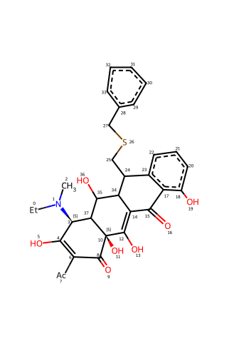 CCN(C)[C@@H]1C(O)=C(C(C)=O)C(=O)[C@@]2(O)C(O)=C3C(=O)c4c(O)cccc4C(CSCc4ccccc4)C3C(O)C12